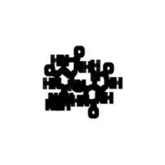 O=c1[nH]c(=O)c2[nH]c(=O)[nH]c2[nH]1.O=c1[nH]c(=O)c2[nH]c(=O)[nH]c2[nH]1.[NaH].[NaH]